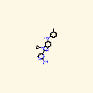 CNc1nccc(-c2nc3ccc(Nc4cccc(C)c4)cc3n2C2CC2)n1